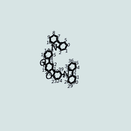 c1ccc2c(c1)c1ccccc1n2-c1ccc2oc3cc4oc5ccc(-n6c7ccccc7c7ccccc76)cc5c4cc3c2c1